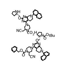 CC(C)(C)OC(=O)N1CCC[C@H]1COc1nc2c(c(N3CCN(C(=O)OCc4ccccc4)C(CC#N)C3)n1)CCN(c1cccc3ccccc13)C2.N#CCC1CN(c2nc(OC[C@@H]3CCCN3)nc3c2CCN(c2cccc4ccccc24)C3)CCN1C(=O)O